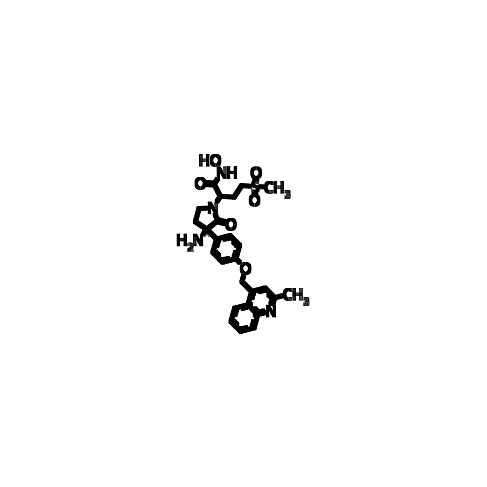 Cc1cc(COc2ccc([C@]3(N)CCN(C(CCS(C)(=O)=O)C(=O)NO)C3=O)cc2)c2ccccc2n1